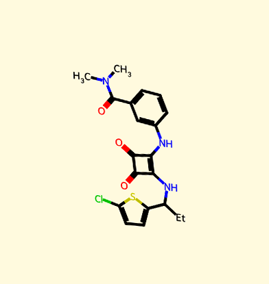 CCC(Nc1c(Nc2cccc(C(=O)N(C)C)c2)c(=O)c1=O)c1ccc(Cl)s1